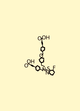 O=C(O)C#Cc1ccc(COc2ccc(CCN(Cc3ccc(C#CC(=O)O)cc3)c3nc4cccc(F)c4s3)cc2)cc1